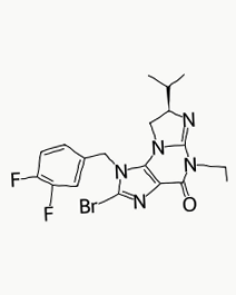 CCN1C(=O)c2nc(Br)n(Cc3ccc(F)c(F)c3)c2N2C[C@@H](C(C)C)N=C12